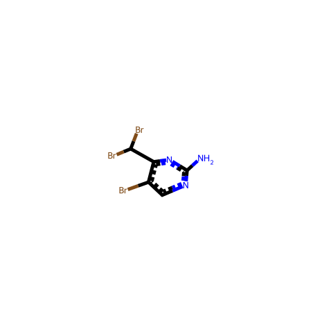 Nc1ncc(Br)c(C(Br)Br)n1